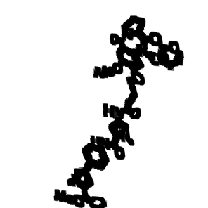 COC(=O)c1cc(-c2ccc(NC(=O)c3cc(NC(=O)CCCOc4cc5c(cc4OC)C(=O)N4CCCC4C(OC4CCCCO4)N5C(=O)O)cn3C)cc2)cn1C